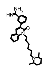 CC1CCCC(C)N1CCCCCCn1c(=O)c(-c2cccc(C(=N)N)c2)cc2ccccc21